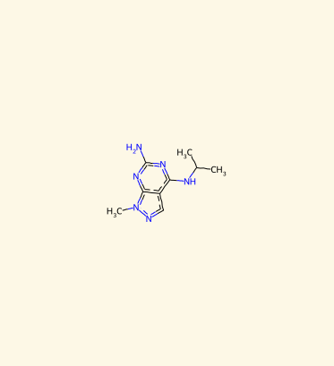 CC(C)Nc1nc(N)nc2c1cnn2C